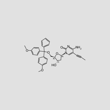 CC#Cc1cn([C@H]2C[C@H](O)[C@@H](COC(c3ccccc3)(c3ccc(OC)cc3)c3ccc(OC)cc3)O2)c(=O)nc1N